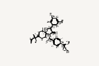 CCC(C)(C)C1CCC2(CC1)NC(c1cc(F)cc(F)c1)C(=O)N2[C@H](C)c1ccc(C(=O)OC)cc1